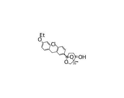 CCOc1ccc(Cc2cc([C@]34CC[C@H](O)[C@](C)(CO3)O4)ccc2Cl)cc1